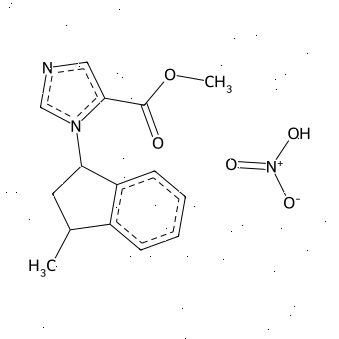 COC(=O)c1cncn1C1CC(C)c2ccccc21.O=[N+]([O-])O